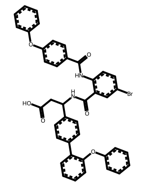 O=C(O)CC(NC(=O)c1cc(Br)ccc1NC(=O)c1ccc(Oc2ccccc2)cc1)c1ccc(-c2ccccc2Oc2ccccc2)cc1